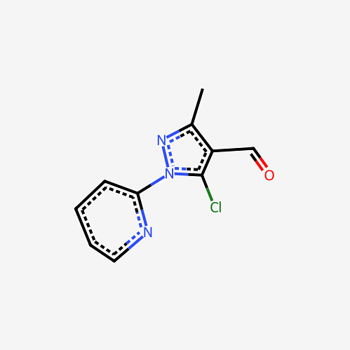 Cc1nn(-c2ccccn2)c(Cl)c1C=O